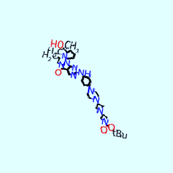 C=CCn1c(=O)c2cnc(Nc3ccc(N4CCN(C5CN(C6CN(C(=O)OC(C)(C)C)C6)C5)CC4)cc3)nc2n1-c1cccc(C(C)(C)O)n1